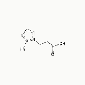 O=C(O)CCn1ccnc1S